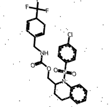 O=C(NCC1=CCC(C(F)(F)F)C=C1)OCC1CCc2ccccc2N1S(=O)(=O)c1ccc(Cl)cc1